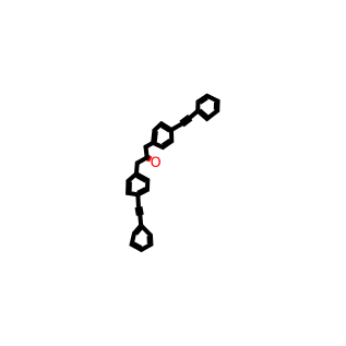 O=C(Cc1ccc(C#Cc2ccccc2)cc1)Cc1ccc(C#Cc2ccccc2)cc1